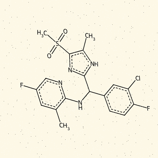 Cc1cc(F)cnc1NC(c1ccc(F)c(Cl)c1)c1nc(S(C)(=O)=O)c(C)[nH]1